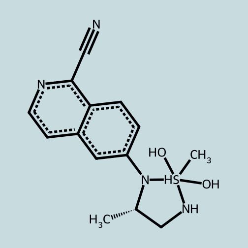 C[C@H]1CN[SH](C)(O)(O)N1c1ccc2c(C#N)nccc2c1